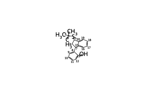 CC(C)(C)SC1CC(c2ccccc2O)c2ccccc21